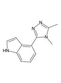 Cc1nnc(-c2cccc3[nH]ccc23)n1C